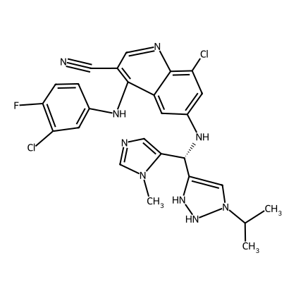 CC(C)N1C=C([C@@H](Nc2cc(Cl)c3ncc(C#N)c(Nc4ccc(F)c(Cl)c4)c3c2)c2cncn2C)NN1